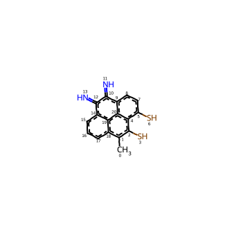 Cc1c(S)c2c(S)ccc3c(=N)c(=N)c4cccc1c4c23